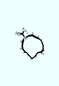 CC(S)N1CCCCCCCCCCCCC1